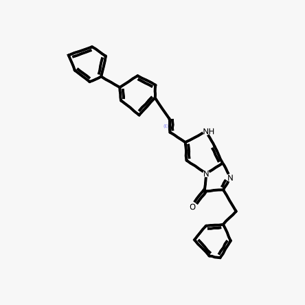 O=c1c(Cc2ccccc2)nc2c[nH]c(/C=C/c3ccc(-c4ccccc4)cc3)cn1-2